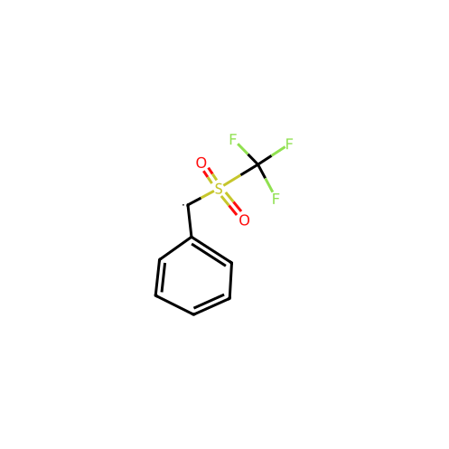 O=S(=O)([CH]c1ccccc1)C(F)(F)F